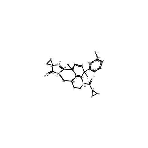 CC12C=CC(C)(c3cccc(F)c3)C3=C1C(CCN3C(=O)C1CC1)CN1C(=O)C3(CC3)N=C12